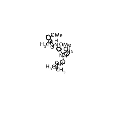 COc1cc(-c2nc(C3CCN(CC(=O)N(C)C)C3)n3ccnc(C)c23)ccc1NC(=O)c1cc2c(OC)cccc2n1C